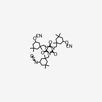 CC1(C)CC(N=C=O)CC(C)(Cn2c(=O)n(CC3(C)CC(OC#N)CC(C)(C)C3)c(=O)n(CC3(C)CC(OC#N)CC(C)(C)C3)c2=O)C1